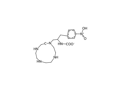 O=C([O-])NC(Cc1ccc([N+](=O)O)cc1)CN1CCNCCNCCNCC1